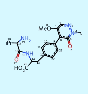 COc1cnn(C)c(=O)c1-c1ccc(CC(NC(=O)C(N)C(C)C)C(=O)O)cc1